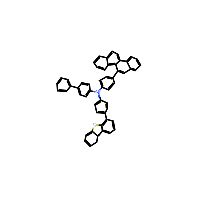 C1=CCC2C(=C1)Sc1c(-c3ccc(N(c4ccc(-c5ccccc5)cc4)c4ccc(-c5cc6ccccc6c6ccc7ccccc7c56)cc4)cc3)cccc12